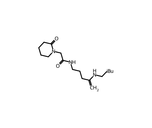 C=C(CCCNC(=O)CN1CCCCC1=O)NCC(C)CC